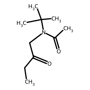 CCC(=O)CN(C(C)=O)C(C)(C)C